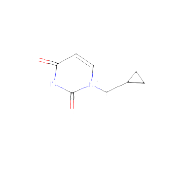 O=c1ccn(CC2CC2)c(=O)[nH]1